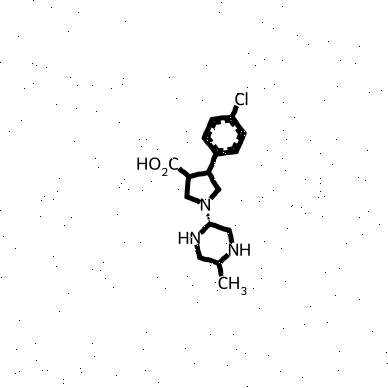 CC1CN[C@H](N2CC(C(=O)O)C(c3ccc(Cl)cc3)C2)CN1